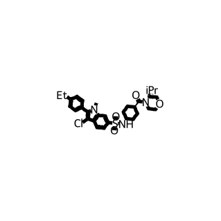 CCc1ccc(-c2c(Cl)c3ccc(S(=O)(=O)N[C@H]4CC[C@H](C(=O)N5CCOC[C@@H]5C(C)C)CC4)cc3n2C)cc1